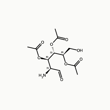 CC(=O)O[C@@H]([C@H](OC(C)=O)[C@@H](CO)OC(C)=O)[C@H](N)C=O